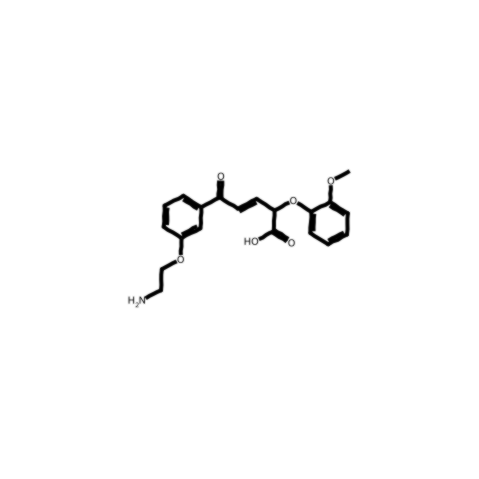 COc1ccccc1OC(C=CC(=O)c1cccc(OCCN)c1)C(=O)O